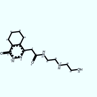 O=C(Cc1n[nH]c(=O)c2c1CCCC2)NCCNCCO